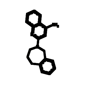 Nc1cc(N2CCCc3ccccc3C2)nc2ccccc12